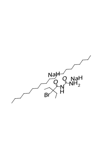 CCC(Br)(CC)C(=O)NC(N)=O.CCCCCCCCCCCCCCCCCCCC.[NaH].[NaH]